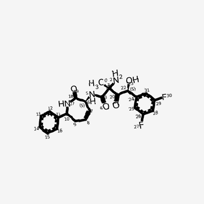 C[C@](N)(C(=O)N[C@H]1C=CCC(c2ccccc2)NC1=O)C(=O)[C@@H](O)c1cc(F)cc(F)c1